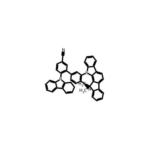 CC1(C)c2ccccc2-c2ccc3c4ccccc4n(-c4cc(-c5cc(C#N)ccc5-n5c6c(c7ccccc75)C=CCC6)ccc4C#N)c3c21